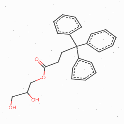 O=C(CCC(c1ccccc1)(c1ccccc1)c1ccccc1)OCC(O)CO